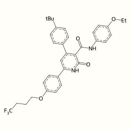 CCOc1ccc(NC(=O)c2c(-c3ccc(C(C)(C)C)cc3)cc(-c3ccc(OCCCC(F)(F)F)cc3)[nH]c2=O)cc1